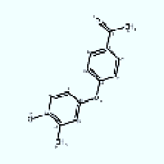 CC(=O)c1ccc(Oc2ccc(Cl)c(C)c2)cc1